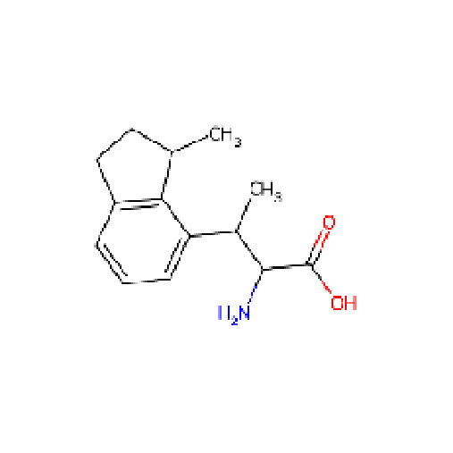 CC1CCc2cccc(C(C)C(N)C(=O)O)c21